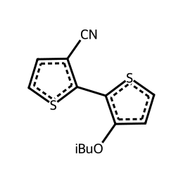 CC(C)COc1ccsc1-c1sccc1C#N